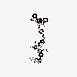 CC(C)C(C(=O)N1C[C@H](O)C[C@H]1C(=O)N[C@@H](C)c1ccc(-c2scnc2CN(C)C)cc1)c1cc(OCCN2CCN(CCOc3cc(N4C5CCC4CN(c4cc(-c6ccccc6O)nnc4N)C5)ccn3)CC2)no1